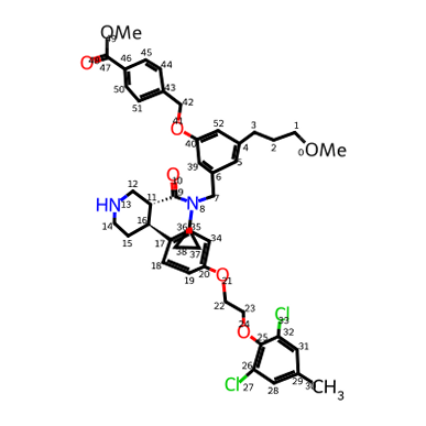 COCCCc1cc(CN(C(=O)[C@H]2CNCC[C@@H]2c2ccc(OCCOc3c(Cl)cc(C)cc3Cl)cc2)C2CC2)cc(OCc2ccc(C(=O)OC)cc2)c1